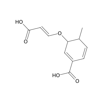 CC1C=CC(C(=O)O)=CC1OC=CC(=O)O